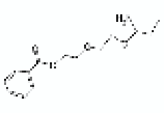 CCC(N)OCCOCCOC(=O)c1ccccc1